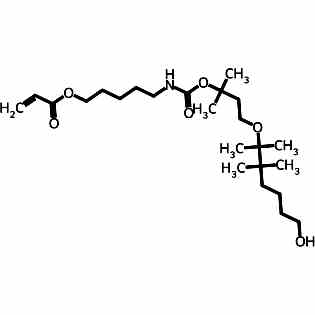 C=CC(=O)OCCCCCNC(=O)OC(C)(C)CCOC(C)(C)C(C)(C)CCCCO